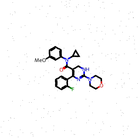 COc1cccc(N(C(=O)C2=C(c3ccccc3F)N=C(N3CCOCC3)NC2)C2CC2)c1